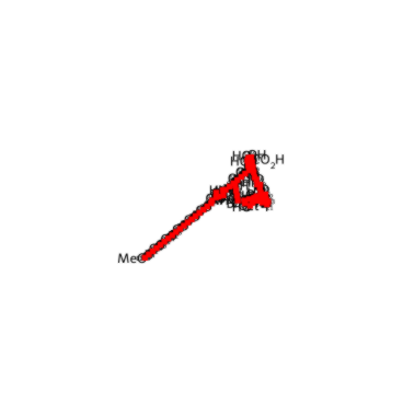 CC[C@@]1(O)C(=O)OCc2c1cc1n(c2=O)Cc2c-1nc1cc(F)c(C)c3c1c2[C@@H](NC(=O)C12CC(NC(=O)OCc4ccc(O[C@@H]5O[C@H](C(=O)O)[C@@H](O)[C@H](O)[C@H]5O)c(CNC(=O)CCNC(=O)[C@H](CCCC(=O)N[C@H]5CO[C@H]6[C@@H]5OC[C@@H]6NC(=O)CCOCCOCCOCCOCCOCCOCCOCCOCCOCCOCCOCCOC)NC(=O)CCNC(=O)CBr)c4)(C1)C2)CC3